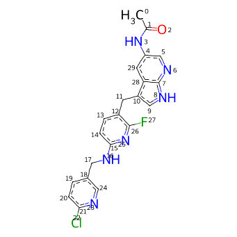 CC(=O)Nc1cnc2[nH]cc(Cc3ccc(NCc4ccc(Cl)nc4)nc3F)c2c1